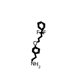 NCCc1ccc(OCCCC(F)(F)c2ccccc2)cc1